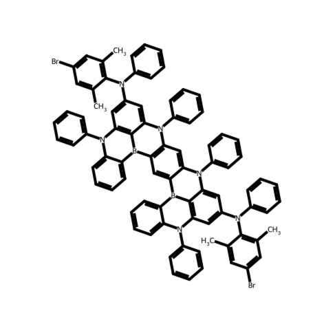 Cc1cc(Br)cc(C)c1N(c1ccccc1)c1cc2c3c(c1)N(c1ccccc1)c1cc4c(cc1B3c1ccccc1N2c1ccccc1)B1c2ccccc2N(c2ccccc2)c2cc(N(c3ccccc3)c3c(C)cc(Br)cc3C)cc(c21)N4c1ccccc1